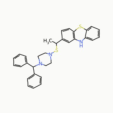 CC(SN1CCN(C(c2ccccc2)c2ccccc2)CC1)c1ccc2c(c1)Nc1ccccc1S2